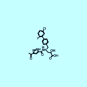 CC(=O)c1cc(C(=O)NN(Cc2ccc(-c3cc(Cl)ccc3F)cc2)CC(O)C(=O)O)[nH]n1